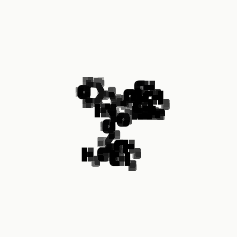 CNC[C@@H](O[Si](C)(C)C)[C@H](CC1CCOCC1)NC(=O)OCC[Si](C)(C)C